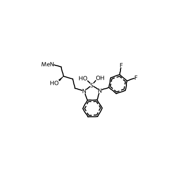 CNC[C@H](O)CCN1c2ccccc2N(c2ccc(F)c(F)c2)S1(O)O